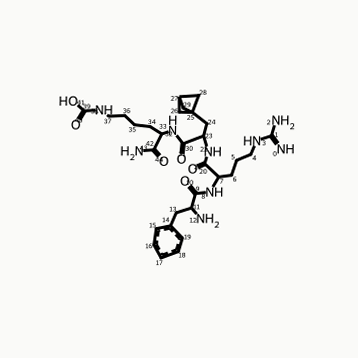 N=C(N)NCCCC(NC(=O)C(N)Cc1ccccc1)C(=O)NC(CC12CC(C1)C2)C(=O)NC(CCCCNC(=O)O)C(N)=O